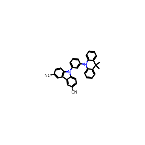 CC1(C)c2ccccc2N(c2cccc(-n3c4ccc(C#N)cc4c4cc(C#N)ccc43)c2)c2ccccc21